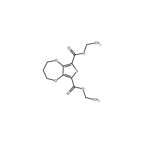 CCOC(=O)c1sc(C(=O)OCC)c2c1OCCCO2